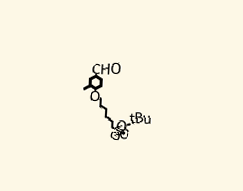 Cc1cc(C=O)ccc1OCCCCCCS(=O)(=O)OCC(C)(C)C